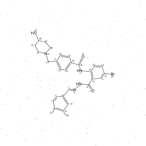 Cc1ccc(C=NNC(=O)c2cc(Br)ccc2NC(=O)c2ccc(CN3CCC(O)CC3)cc2)cc1C